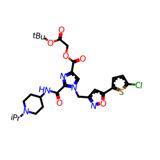 CC(C)N1CCC(NC(=O)c2nc(C(=O)OCC(=O)OC(C)(C)C)cn2Cc2cc(-c3ccc(Cl)s3)on2)CC1